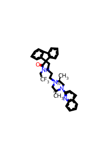 C[C@@H]1CN(CCCCC2(C(=O)NCC(F)(F)F)c3ccccc3-c3ccccc32)[C@@H](C)CN1c1ccc2ccccc2n1